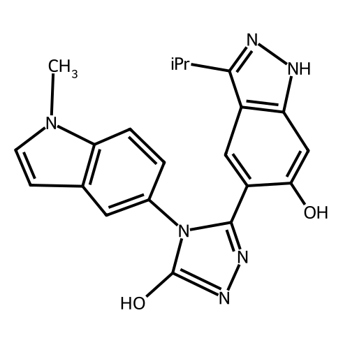 CC(C)c1n[nH]c2cc(O)c(-c3nnc(O)n3-c3ccc4c(ccn4C)c3)cc12